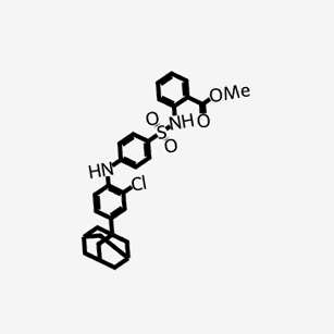 COC(=O)c1ccccc1NS(=O)(=O)c1ccc(Nc2ccc(C34CC5CC(CC(C5)C3)C4)cc2Cl)cc1